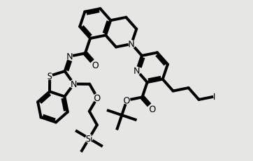 CC(C)(C)OC(=O)c1nc(N2CCc3cccc(C(=O)N=c4sc5ccccc5n4COCC[Si](C)(C)C)c3C2)ccc1CCCI